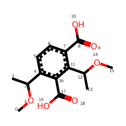 COC(C)c1ccc(C(=O)O)c(C(C)OC)c1C(=O)O